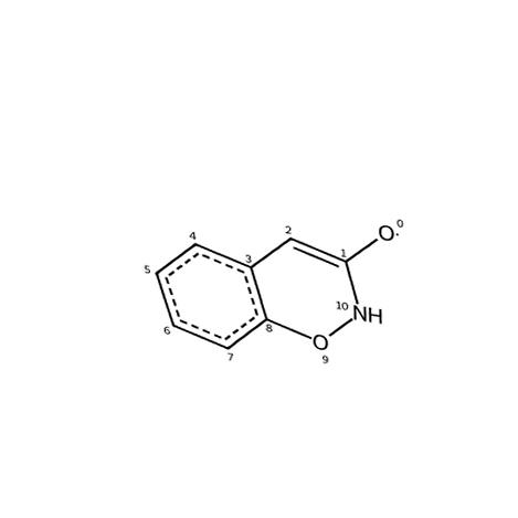 [O]C1=Cc2ccccc2ON1